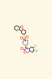 O=C1OCc2cc(F)c(F)cc2N1C1CCN(S(=O)(=O)c2ccc3oc4ccccc4c3c2)CC1